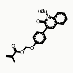 C=C(C)C(=O)OCOc1ccc(-c2cc3ccccc3n(CCCC)c2=O)cc1